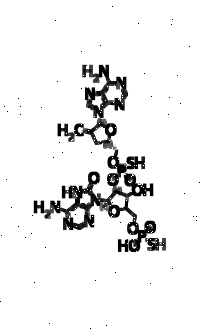 C=C1C[C@@H](CO[P@@](=O)(S)O[C@@H]2C(O)C(COP(=O)(O)S)O[C@H]2n2c(=O)[nH]c3c(N)ncnc32)O[C@H]1n1cnc2c(N)ncnc21